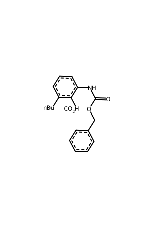 CCCCc1cccc(NC(=O)OCc2ccccc2)c1C(=O)O